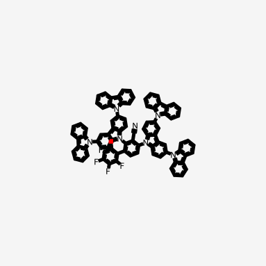 N#Cc1c(-n2c3ccc(-n4c5ccccc5c5ccccc54)cc3c3cc(-n4c5ccccc5c5ccccc54)ccc32)ccc(-c2c(F)c(F)c(F)c(F)c2F)c1-n1c2ccc(-n3c4ccccc4c4ccccc43)cc2c2cc(-n3c4ccccc4c4ccccc43)ccc21